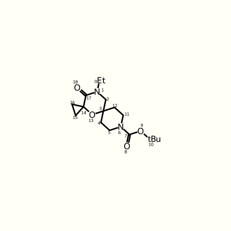 CCN1CC2(CCN(C(=O)OC(C)(C)C)CC2)OC2(CC2)C1=O